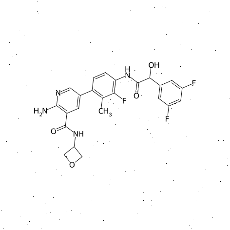 Cc1c(-c2cnc(N)c(C(=O)NC3COC3)c2)ccc(NC(=O)C(O)c2cc(F)cc(F)c2)c1F